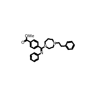 COC(=O)c1ccc(C(=Nc2ccccc2)N2CCCN(CCc3ccccc3)CC2)cc1